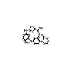 NC(=O)[C@@H]1CC[C@@H](Nc2ncc3nnn(-c4ccc(N5CCOCC5=O)c(F)c4)c3n2)C1